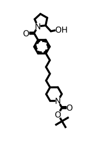 CC(C)(C)OC(=O)N1CCC(CCCCc2ccc(C(=O)N3CCCC3CO)cc2)CC1